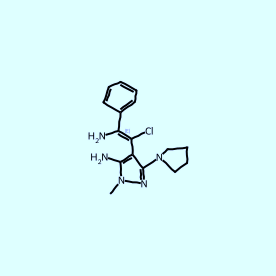 Cn1nc(N2CCCC2)c(/C(Cl)=C(\N)c2ccccc2)c1N